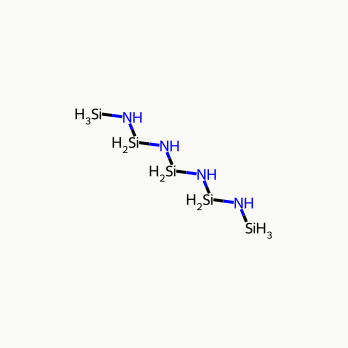 [SiH3]N[SiH2]N[SiH2]N[SiH2]N[SiH3]